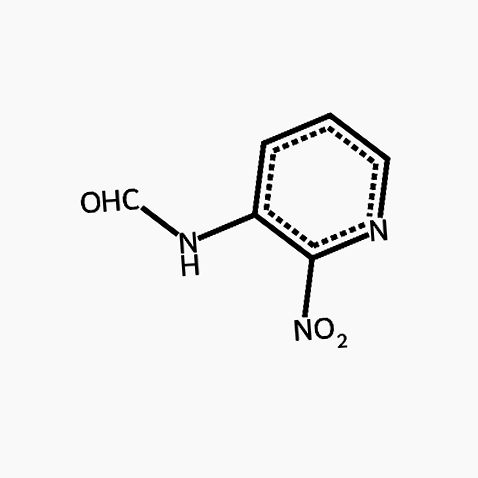 O=CNc1cccnc1[N+](=O)[O-]